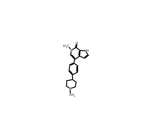 CN1CCC(c2ccc(-c3cn(C)c(=O)c4[nH]ccc34)cc2)CC1